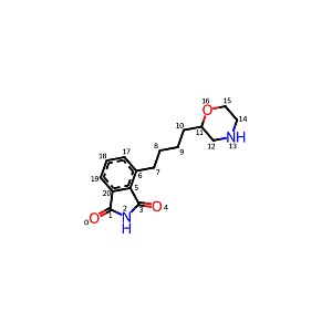 O=C1NC(=O)c2c(CCCCC3CNCCO3)cccc21